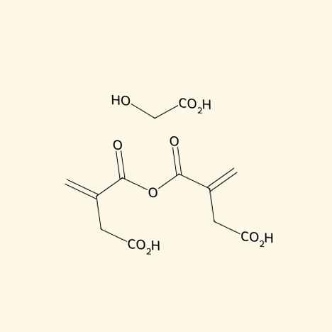 C=C(CC(=O)O)C(=O)OC(=O)C(=C)CC(=O)O.O=C(O)CO